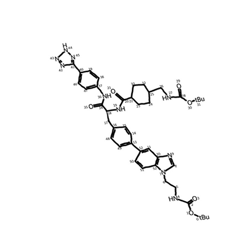 CC(C)(C)OC(=O)NCCn1cnc2cc(-c3ccc(C[C@H](NC(=O)C4CCC(CNC(=O)OC(C)(C)C)CC4)C(=O)Nc4ccc(-c5nn[nH]n5)cc4)cc3)ccc21